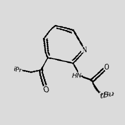 CC(C)C(=O)c1cccnc1NC(=O)C(C)(C)C